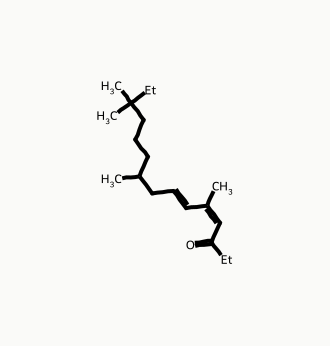 CCC(=O)C=C(C)C=CCC(C)CCCC(C)(C)CC